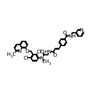 Cc1ccc2cccc(OCc3c(Cl)ccc(N(C)C(=O)CNC(=O)C=Cc4ccc(C(=O)NCc5cccnc5)cc4)c3Cl)c2n1